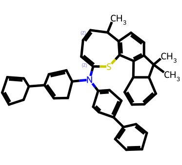 CC1/C=C\C=C(\N(c2ccc(-c3ccccc3)cc2)C2C=CC(C3C=CC=CC3)=CC2)Sc2c1ccc1c2C2C=CC=CC2C1(C)C